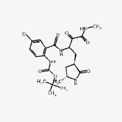 CNC(=O)C(=O)C(C[C@@H]1C[C@@H](C)NC1=O)NC(=O)c1cc(Cl)ccc1NC(=O)OC(C)(C)C